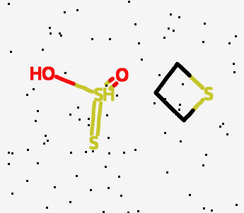 C1CSC1.O=[SH](O)=S